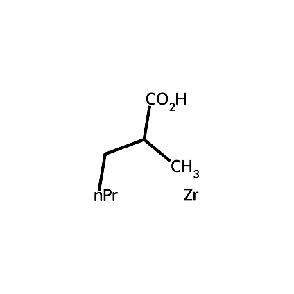 CCCCC(C)C(=O)O.[Zr]